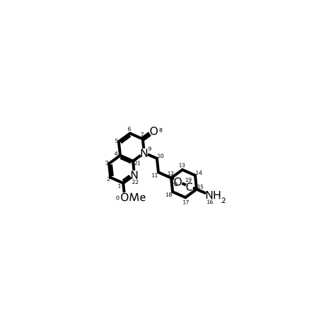 COc1ccc2ccc(=O)n(CCC34CCC(N)(CC3)CO4)c2n1